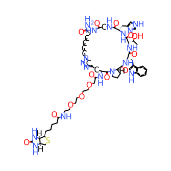 CC(O)[C@@H]1NC(=O)[C@H](Cc2c[nH]c3ccccc23)NC(=O)[C@@H]2CCCN2C(=O)[C@@H](NC(=O)COCCOCCOCCNC(=O)CCCC[C@H]2SC[C@H]3NC(=O)N[C@H]32)Cc2cn(nn2)CCCC[C@@H](C(N)=O)NC(=O)CNC(=O)[C@H](Cc2c[nH]cn2)NC1=O